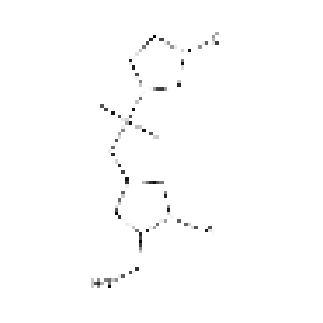 CC(C)C1CC(CC(C)(C)C2CCC(O)C2)CC1CO